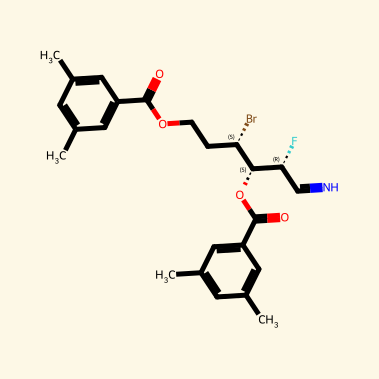 Cc1cc(C)cc(C(=O)OCC[C@H](Br)[C@@H](OC(=O)c2cc(C)cc(C)c2)[C@H](F)C=N)c1